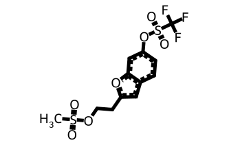 CS(=O)(=O)OCCc1cc2ccc(OS(=O)(=O)C(F)(F)F)cc2o1